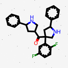 O=C(C1CNC(c2ccccc2)C1)C1(c2cc(F)ccc2F)CNC(c2ccccc2)C1